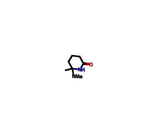 CNC1(C)CCCC(=O)N1